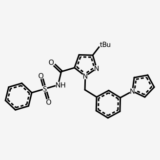 CC(C)(C)c1cc(C(=O)NS(=O)(=O)c2ccccc2)n(Cc2cccc(-n3cccc3)c2)n1